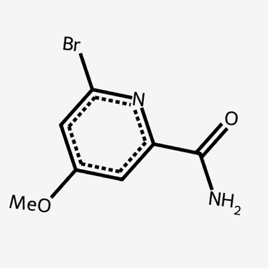 COc1cc(Br)nc(C(N)=O)c1